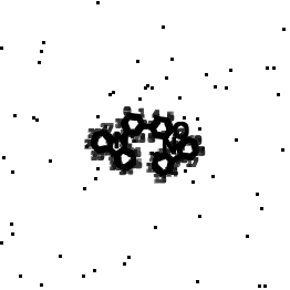 c1cc(-c2ccc3c(c2)-n2c4ccccc4c4cccc(c42)O3)cc(-n2c3ccccc3c3ccccc32)c1